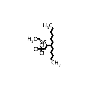 CCCCCCC(CCCCC)C(CC(Cl)(Cl)Cl)SSCC